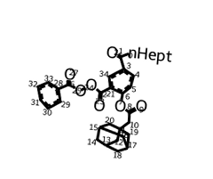 CCCCCCCC(=O)c1ccc(OC(=O)CC23CC4CC(CC(C4)C2)C3)c(C(=O)OOC(=O)c2ccccc2)c1